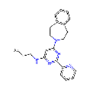 CC(=O)CCNc1cc(N2CCc3ccccc3CC2)nc(-c2ccccn2)n1